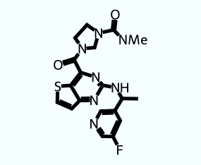 CNC(=O)N1CCN(C(=O)c2nc(NC(C)c3cncc(F)c3)nc3ccsc23)C1